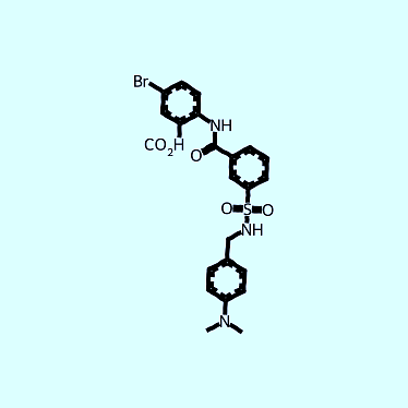 CN(C)c1ccc(CNS(=O)(=O)c2cccc(C(=O)Nc3ccc(Br)cc3C(=O)O)c2)cc1